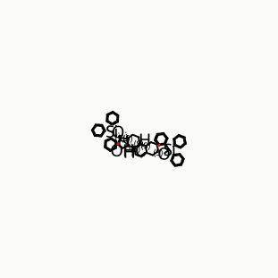 C[C@]12CC[C@H]3[C@@H](CC=C4C[C@@H](O[Si](c5ccccc5)(c5ccccc5)c5ccccc5)CC[C@@]43C=O)[C@@H]1CC[C@@H]2O[Si](c1ccccc1)(c1ccccc1)c1ccccc1